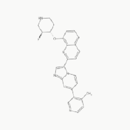 Cc1ccncc1-c1ccn2c(-c3ccc4cccc(O[C@H]5CCNC[C@@H]5F)c4n3)cnc2c1